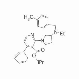 CCN(Cc1ccc(C)cc1)[C@@H]1CCN(c2nccc(C3C=CC=CC3)c2C(=O)OC(C)C)C1